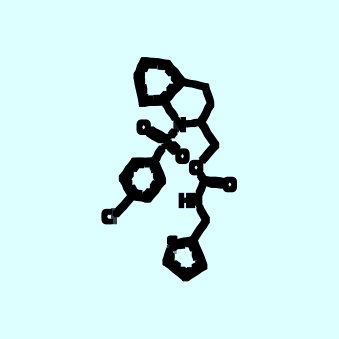 O=C(NCc1cccs1)OCC1CCc2ccccc2N1S(=O)(=O)c1ccc(Cl)cc1